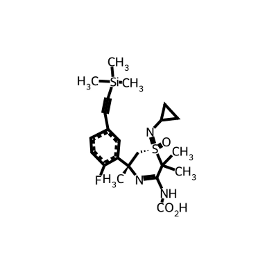 CC1(C)C(NC(=O)O)=N[C@](C)(c2cc(C#C[Si](C)(C)C)ccc2F)C[S@@]1(=O)=NC1CC1